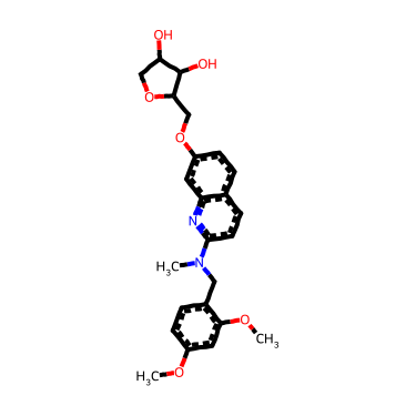 COc1ccc(CN(C)c2ccc3ccc(OCC4OCC(O)C4O)cc3n2)c(OC)c1